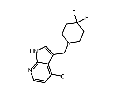 FC1(F)CCN(Cc2c[nH]c3nccc(Cl)c23)CC1